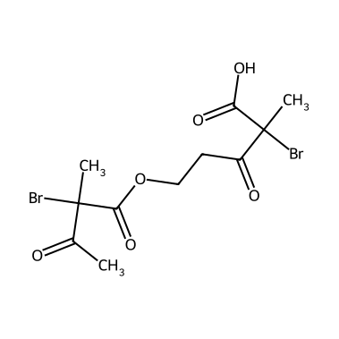 CC(=O)C(C)(Br)C(=O)OCCC(=O)C(C)(Br)C(=O)O